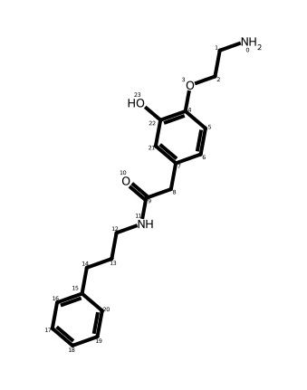 NCCOc1ccc(CC(=O)NCCCc2ccccc2)cc1O